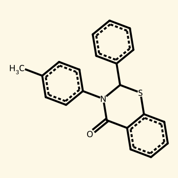 Cc1ccc(N2C(=O)c3ccccc3SC2c2ccccc2)cc1